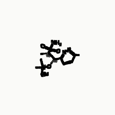 Cc1ccc([C@H](O[Si](C)(C)C(C)(C)C)[C@H](C)S(N)(=O)=O)nn1